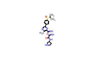 Cc1ncc(-c2ccc([S+]([O-])C(C)C)cc2)nc1C(=N)OC(=N)C(=O)NC1CCNC1